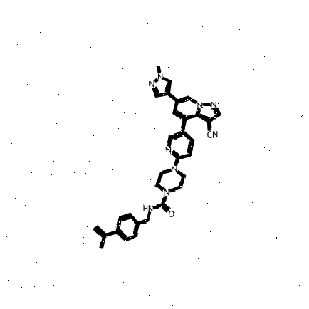 C=C(C)c1ccc(CNC(=O)N2CCN(c3ccc(-c4cc(-c5cnn(C)c5)cn5ncc(C#N)c45)cn3)CC2)cc1